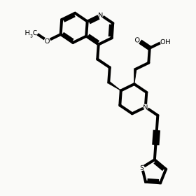 COc1ccc2nccc(CCC[C@@H]3CCN(CC#Cc4cccs4)C[C@@H]3CCC(=O)O)c2c1